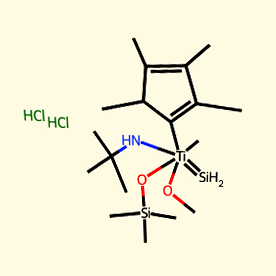 C[O][Ti]([CH3])(=[SiH2])([NH]C(C)(C)C)([O][Si](C)(C)C)[C]1=C(C)C(C)=C(C)C1C.Cl.Cl